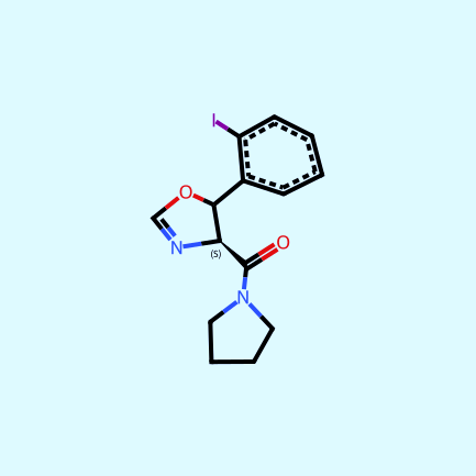 O=C([C@H]1N=COC1c1ccccc1I)N1CCCC1